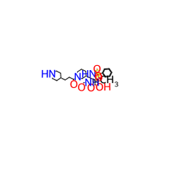 CO[C@H](C(=O)O)C(NC=O)(NS(=O)(=O)c1ccccc1)C1CCCN(C(=O)CCC2CCNCC2)C1